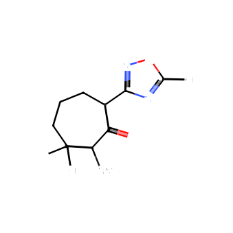 CNC1C(=O)C(c2noc(C)n2)CCCC1(C)C